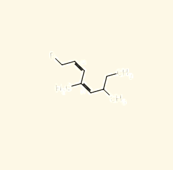 CCC(C)/C=C(C)\C=C/CF